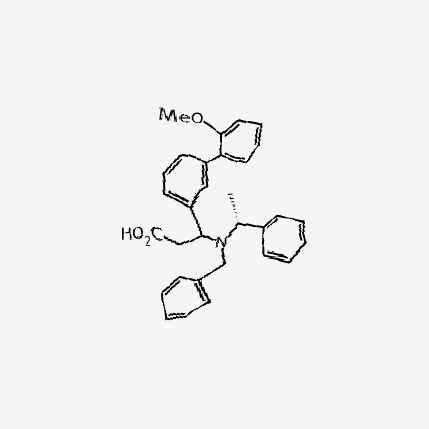 COc1ccccc1-c1cccc(C(CC(=O)O)N(Cc2ccccc2)[C@H](C)c2ccccc2)c1